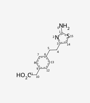 Nc1nc(CCc2ccc(CC(=O)O)cc2)cs1